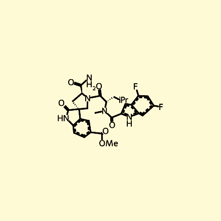 COC(=O)c1ccc2c(c1)[C@@]1(C[C@@H](C(N)=O)N(C(=O)[C@H](CC(C)C)N(C)C(=O)c3cc4c(F)cc(F)cc4[nH]3)C1)C(=O)N2